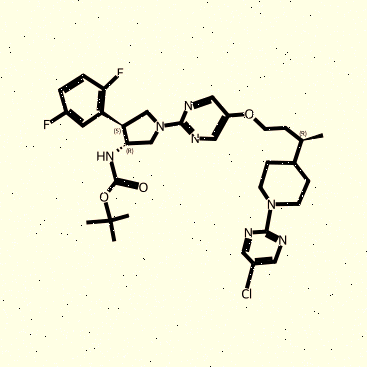 C[C@H](CCOc1cnc(N2C[C@H](NC(=O)OC(C)(C)C)[C@@H](c3cc(F)ccc3F)C2)nc1)C1CCN(c2ncc(Cl)cn2)CC1